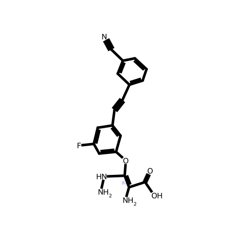 N#Cc1cccc(C#Cc2cc(F)cc(O/C(NN)=C(/N)C(=O)O)c2)c1